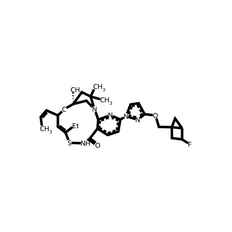 C/C=C\C1/C=C(\CC)SNC(=O)c2ccc(-n3ccc(OCC45CC(F)C4C5)n3)nc2N2C[C@@](C)(C1)CC2(C)C